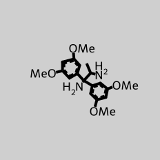 COc1cc(OC)cc(C(N)(c2cc(OC)cc(OC)c2)C(C)N)c1